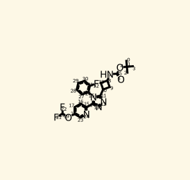 CC(C)(C)OC(=O)NC1CC(c2nnc(-c3ccc(OC(F)F)cn3)n2-c2ccccc2F)C1